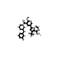 COc1ncc(-c2cc(C(F)(F)F)c3c(N)ncnn23)cc1C(=O)N1CCCC(Cc2cccc(F)c2)C1